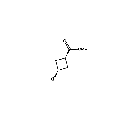 COC(=O)[C@H]1C[C@@H](Cl)C1